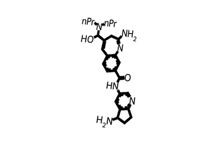 CCCN(CCC)C(O)C1=Cc2ccc(C(=O)Nc3cnc4c(c3)C(N)CC4)cc2N=C(N)C1